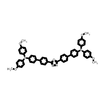 COc1ccc(N(c2ccc(OC)cc2)c2ccc(-c3ccc(-c4nnc(-c5ccc(-c6ccc(N(c7ccc(OC)cc7)c7ccc(OC)cc7)cc6)cc5)o4)cc3)cc2)cc1